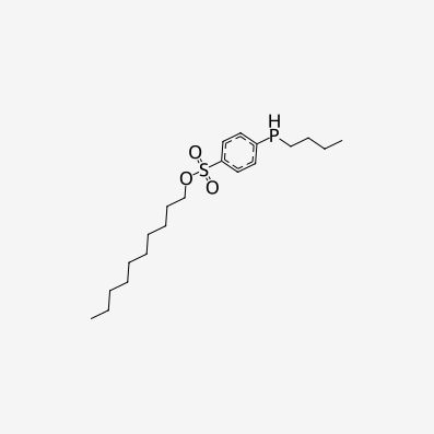 CCCCCCCCCCOS(=O)(=O)c1ccc(PCCCC)cc1